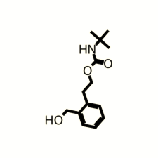 CC(C)(C)NC(=O)OCCc1ccccc1CO